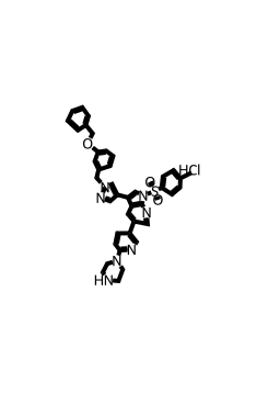 Cc1ccc(S(=O)(=O)n2cc(-c3cnn(Cc4cccc(OCc5ccccc5)c4)c3)c3cc(-c4ccc(N5CCNCC5)nc4)cnc32)cc1.Cl